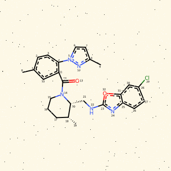 Cc1ccc(-n2ccc(C)n2)c(C(=O)N2CCC[C@@H](C)[C@H]2CNc2nc3ccc(Cl)cc3o2)c1